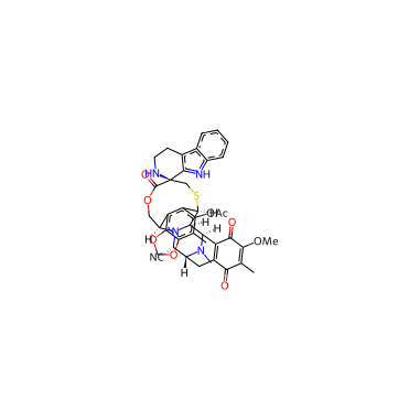 COC1=C(C)C(=O)C2=C(C1=O)[C@@H]1[C@@H]3[C@@H]4SC[C@]5(NCCc6c5[nH]c5ccccc65)C(=O)OC[C@@H](c5c6c(c(C)c(OC(C)=O)c54)OCO6)N3[C@@H](C#N)[C@@H](C2)N1C